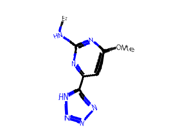 CCNc1nc(OC)cc(-c2nnn[nH]2)n1